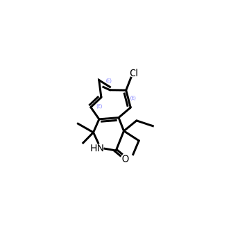 CCC1(CC)C(=O)NC(C)(C)C2=C1\C=C(Cl)/C=C/C=C/2